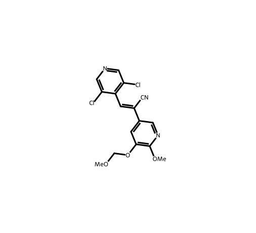 COCOc1cc(C(C#N)=Cc2c(Cl)cncc2Cl)cnc1OC